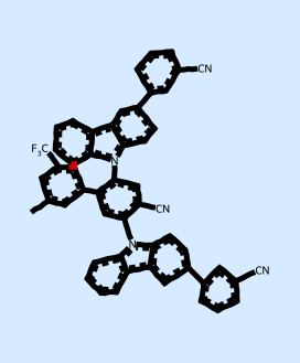 Cc1cc(-c2cc(-n3c4ccccc4c4cc(-c5cccc(C#N)c5)ccc43)c(C#N)cc2-n2c3ccccc3c3cc(-c4cccc(C#N)c4)ccc32)cc(C(F)(F)F)c1